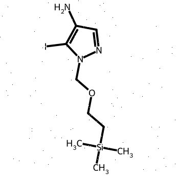 C[Si](C)(C)CCOCn1ncc(N)c1I